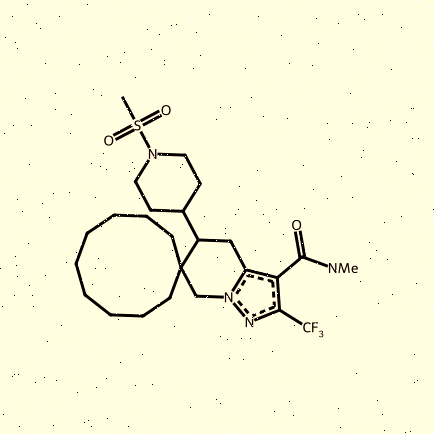 CNC(=O)c1c(C(F)(F)F)nn2c1CC(C1CCN(S(C)(=O)=O)CC1)C1(CCCCCCCCC1)C2